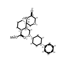 COC(=O)N1CCC[C@]2(COCC(=O)N2)[C@H]1CO[C@H]1CC[C@@H](c2ccccc2)CC1